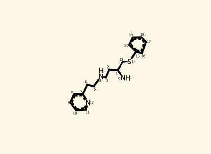 [NH]C(CCNCCc1ccccn1)CSc1ccccc1